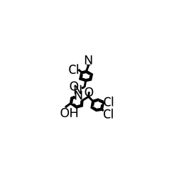 N#Cc1ccc(C(N=O)OC(c2ccc(Cl)c(Cl)c2)c2ccc(CO)cn2)cc1Cl